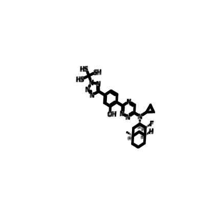 C[C@@]12CCC[C@@H](C1)[C@@H](F)[C@@H](N(c1cnc(-c3ccc(-c4nnn(C(S)(S)S)n4)cc3O)nn1)C1CC1)C2